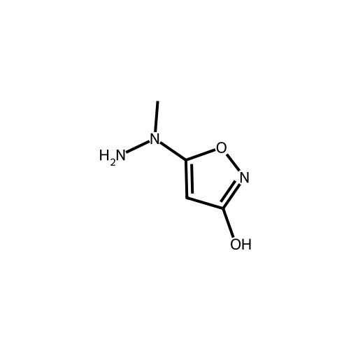 CN(N)c1cc(O)no1